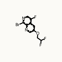 Fc1cnc(Br)c2ncc(OCC(F)F)cc12